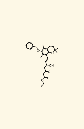 CCOC(=O)CC(=O)CC(O)C=Cc1c(C)c(OCc2ccccc2)c(C)c2c1OC(C)(C)CC2